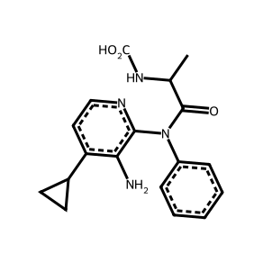 CC(NC(=O)O)C(=O)N(c1ccccc1)c1nccc(C2CC2)c1N